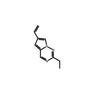 C=Cc1cc2cnc(CC)nn2c1